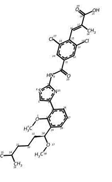 COc1c(-c2csc(NC(=O)c3cc(Cl)c(C=C(C)C(=O)O)c(Cl)c3)n2)cccc1[C@H](CCCC(C)C)OC